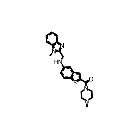 CN1CCN(C(=O)c2cc3cc(NCc4nc5ccccc5n4C)ccc3s2)CC1